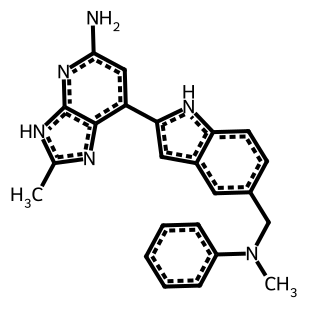 Cc1nc2c(-c3cc4cc(CN(C)c5ccccc5)ccc4[nH]3)cc(N)nc2[nH]1